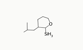 CC(C)CC1CCCOC1[SiH3]